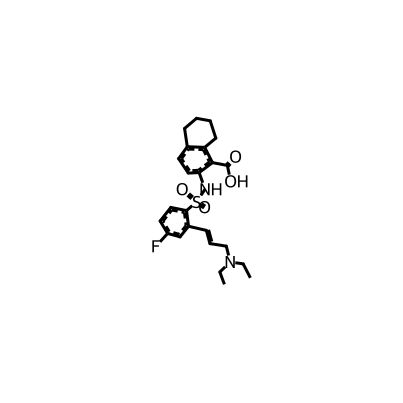 CCN(CC)CC=Cc1cc(F)ccc1S(=O)(=O)Nc1ccc2c(c1C(=O)O)CCCC2